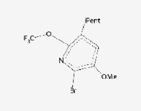 CCCC(C)c1cc(OC)c(Br)nc1OC(F)(F)F